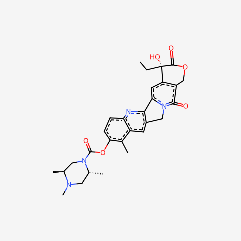 CC[C@@]1(O)C(=O)OCc2c1cc1n(c2=O)Cc2cc3c(C)c(OC(=O)N4C[C@H](C)N(C)C[C@H]4C)ccc3nc2-1